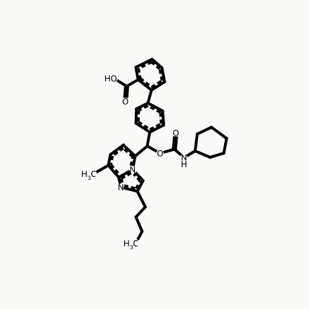 CCCCc1cn2c(C(OC(=O)NC3CCCCC3)c3ccc(-c4ccccc4C(=O)O)cc3)ccc(C)c2n1